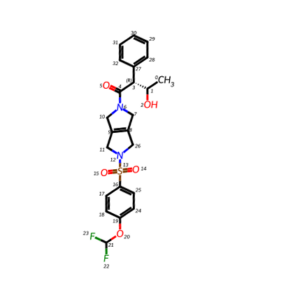 CC(O)[C@H](C(=O)N1CC2=C(C1)CN(S(=O)(=O)c1ccc(OC(F)F)cc1)C2)c1ccccc1